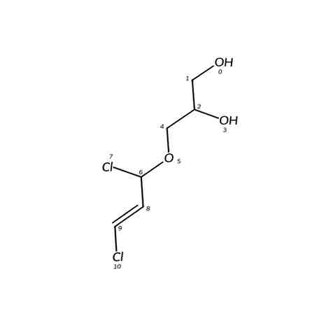 OCC(O)COC(Cl)C=CCl